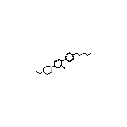 CCCCCc1ccc(-c2ccc([C@H]3CC[C@H](CC)CC3)cc2F)nc1